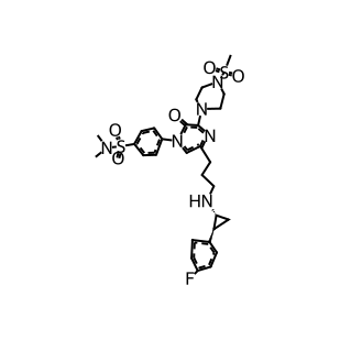 CN(C)S(=O)(=O)c1ccc(-n2cc(CCCN[C@@H]3C[C@H]3c3ccc(F)cc3)nc(N3CCN(S(C)(=O)=O)CC3)c2=O)cc1